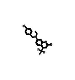 CCN(Cc1ccc(Cl)cc1)c1ccc2c(C(F)(F)F)cc(=O)oc2c1